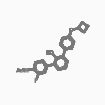 CC(=O)Nc1ccc(-c2cccc(-c3ccc(OC4CCC4)cc3)c2O)cc1F